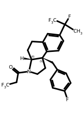 CC(F)(c1ccc2c(c1)CC[C@H]1N(C(=O)CC(F)(F)F)CC[C@@]21Cc1ccc(F)cc1)C(F)(F)F